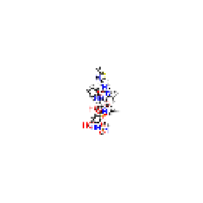 CNS(=O)(=O)Nc1cc(S(=O)(=O)N(CC(C)C)C[C@H](O)[C@H](Cc2ccccc2)NC(=O)[C@H](C(C)C)N2CCN(Cc3csc(C)n3)C2=O)ccc1O